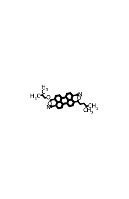 CC(C)CCC(=O)c1ccc2c3ccc(C#N)c4c(C(=O)OCC(C)C)ccc(c5ccc(C#N)c1c25)c43